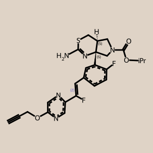 C#CCOc1cnc(/C(F)=C/c2ccc(F)c([C@]34CN(C(=O)OC(C)C)C[C@@H]3CSC(N)=N4)c2)cn1